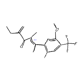 C=C(CC)C(=O)/C(C)=C(\C)c1cc(OC)c(C(F)(F)F)cc1C